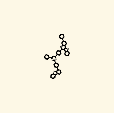 c1ccc(-c2ccc3c(c2)nc(-c2ccc(-c4cc(-c5ccccc5)nc(-c5ccc(-c6cccc7c6oc6ccccc67)cc5)n4)cc2)c2c4ccccc4oc32)cc1